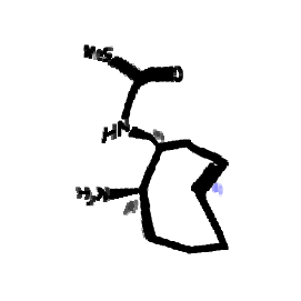 CSC(=O)N[C@H]1C/C=C/CCC[C@H]1N